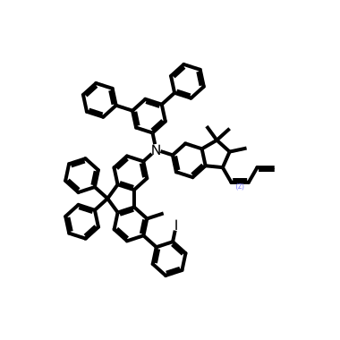 C=C/C=C\C1C2=CC=C(N(c3cc(-c4ccccc4)cc(-c4ccccc4)c3)c3ccc4c(c3)-c3c(ccc(-c5ccccc5I)c3C)C4(c3ccccc3)c3ccccc3)CC2C(C)(C)C1C